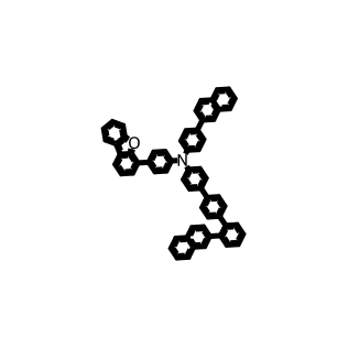 c1ccc(-c2ccc3ccccc3c2)c(-c2ccc(-c3ccc(N(c4ccc(-c5ccc6ccccc6c5)cc4)c4ccc(-c5cccc6c5oc5ccccc56)cc4)cc3)cc2)c1